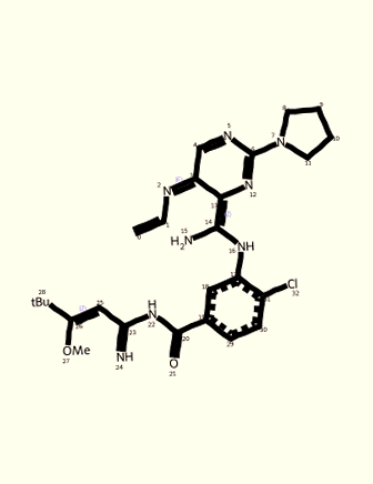 C=C/N=C1/C=NC(N2CCCC2)=N/C1=C(/N)Nc1cc(C(=O)NC(=N)/C=C(\OC)C(C)(C)C)ccc1Cl